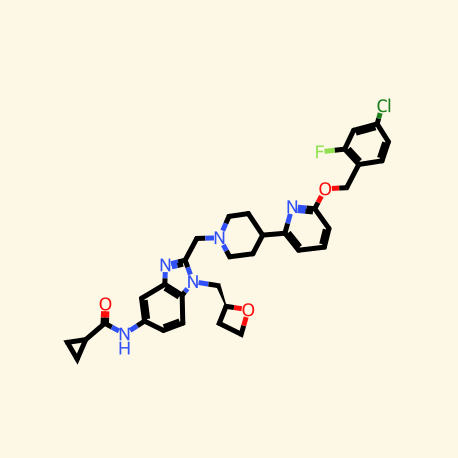 O=C(Nc1ccc2c(c1)nc(CN1CCC(c3cccc(OCc4ccc(Cl)cc4F)n3)CC1)n2C[C@@H]1CCO1)C1CC1